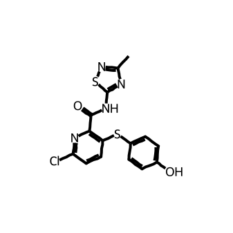 Cc1nsc(NC(=O)c2nc(Cl)ccc2Sc2ccc(O)cc2)n1